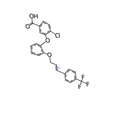 O=C(O)c1ccc(Cl)c(Oc2ccccc2OC/C=C/c2ccc(C(F)(F)F)cc2)c1